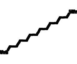 CSCCCCCCCCCCCCSC